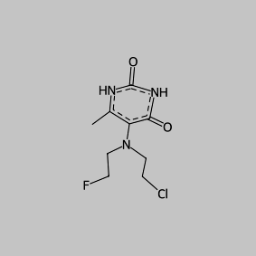 Cc1[nH]c(=O)[nH]c(=O)c1N(CCF)CCCl